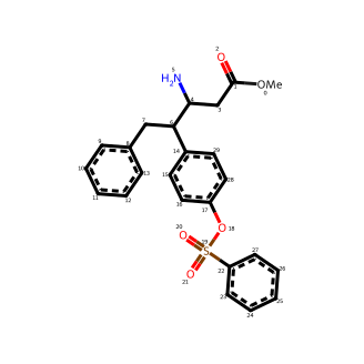 COC(=O)CC(N)C(Cc1ccccc1)c1ccc(OS(=O)(=O)c2ccccc2)cc1